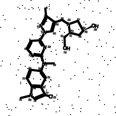 Cc1nn(-c2ccnc(N(C)c3ccc4c(c3)c(Cl)cn4C)n2)cc1CN1C[C@H](O)C[C@H]1CO